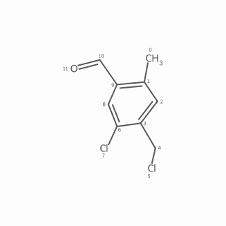 Cc1cc(CCl)c(Cl)cc1C=O